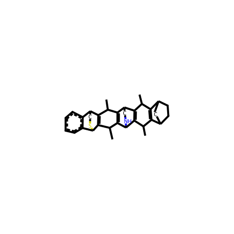 CC1C2=C(C3CCC2CC3)C(C)C2=C1C1CNC2C2=C1C(C)C1=C(C2C)C2SCC1c1ccccc12